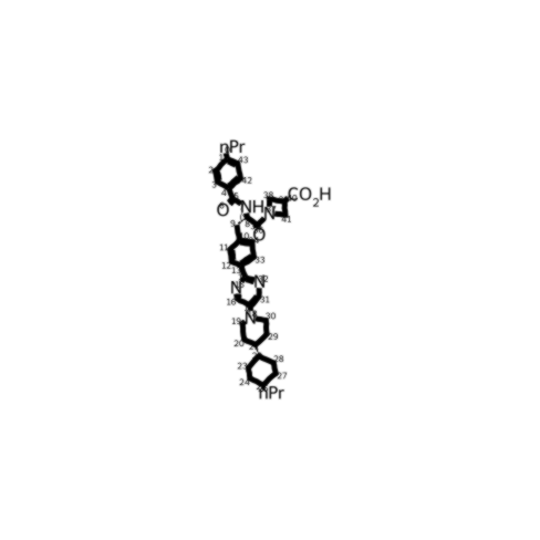 CCCc1ccc(C(=O)N[C@@H](Cc2ccc(-c3ncc(N4CCC([C@H]5CC[C@H](CCC)CC5)CC4)cn3)cc2)C(=O)N2CC(C(=O)O)C2)cc1